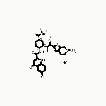 CN1CCc2nc(C(=O)N[C@@H]3C[C@@H](C(=O)N(C)C)CC[C@@H]3NC(=O)c3cc(=O)c4cc(Cl)ccc4[nH]3)sc2C1.Cl